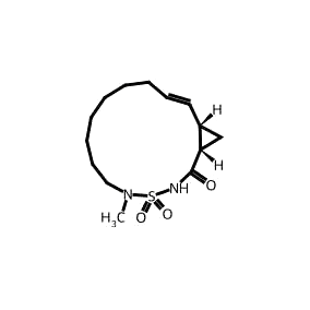 CN1CCCCCCC/C=C/[C@@H]2C[C@@H]2C(=O)NS1(=O)=O